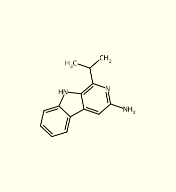 CC(C)c1nc(N)cc2c1[nH]c1ccccc12